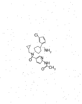 CC(=O)Nc1ccc(C(=O)N(CC2CC2)[C@H]2CC[C@](CN)(c3cccc(Cl)c3)CC2)cn1